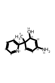 CC1(c2ccccn2)C=CC(N)=CC1O